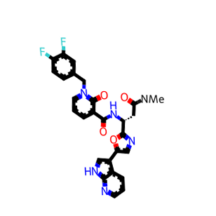 CNC(=O)C[C@@H](NC(=O)c1cccn(Cc2ccc(F)c(F)c2)c1=O)c1ncc(-c2c[nH]c3ncccc23)o1